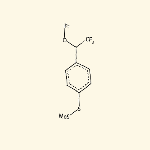 CSSc1ccc(C(OC(C)C)C(F)(F)F)cc1